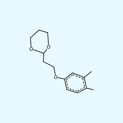 Cc1ccc(OCCC2OCCCO2)cc1C